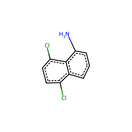 Nc1cccc2c(Cl)ccc(Cl)c12